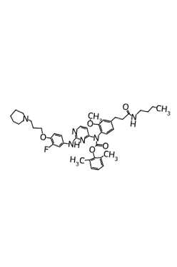 CCCCNC(=O)CCc1ccc(N(C(=O)Oc2c(C)cccc2C)c2ccnc(Nc3ccc(OCCCN4CCCCC4)c(F)c3)n2)c(OC)c1